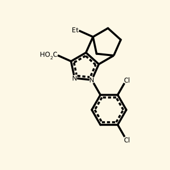 CCC12CCC(C1)c1c2c(C(=O)O)nn1-c1ccc(Cl)cc1Cl